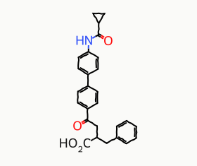 O=C(CC(Cc1ccccc1)C(=O)O)c1ccc(-c2ccc(NC(=O)C3CC3)cc2)cc1